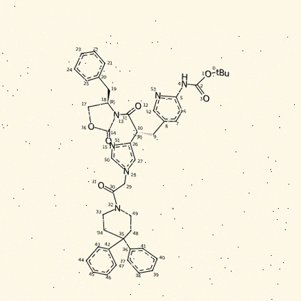 CC(C)(C)OC(=O)Nc1ccc(C[C@@H](C(=O)N2C(=O)OC[C@H]2Cc2ccccc2)c2cn(CC(=O)N3CCC(c4ccccc4)(c4ccccc4)CC3)cn2)cn1